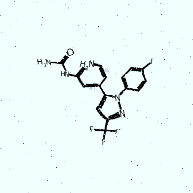 C=C(/C=C(\C=C/N)c1cc(C(F)(F)F)nn1-c1ccc(F)cc1)NC(N)=O